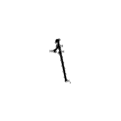 COCCOCCOCCOCCOCCOCCOCCOCCOCCOCC(=O)NCCCCC(NC(=O)CCCN1C(=O)C=CC1=O)C(=O)NCCCC(=O)O